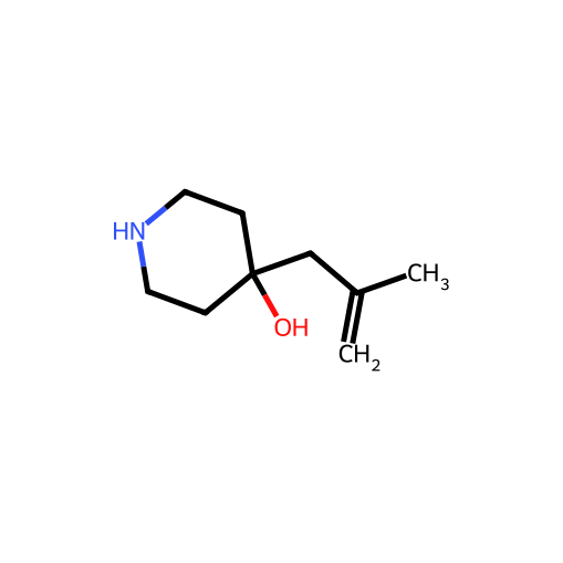 C=C(C)CC1(O)CCNCC1